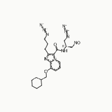 [N-]=[N+]=NCCCc1nc2c(OCC3CCCCC3)cccn2c1C(=O)N[C@H](CN=O)CN=[N+]=[N-]